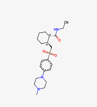 CN1CCN(c2ccc(S(=O)(=O)C[C@H]3CCCC[C@@H]3C(=O)NCC#N)cc2)CC1